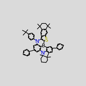 CC(C)(C)c1ccc(N2c3cc(-c4ccccc4)cc4c3B(c3cc(-c5ccccc5)cc5c3N4C3(C)CCCCC53C)c3sc4cc5c(cc4c32)C(C)(C)CCC5(C)C)cc1